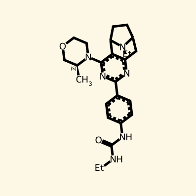 CCNC(=O)Nc1ccc(-c2nc3c(c(N4CCOC[C@@H]4C)n2)C2CCC(C3)N2CC)cc1